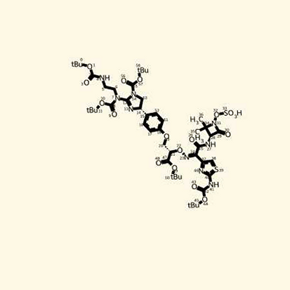 CC(C)(C)OC(=O)NCCN(C(=O)OC(C)(C)C)C1=N[C@@H](c2ccc(OC[C@H](O/N=C(\C(=O)N[C@@H]3C(=O)N(OS(=O)(=O)O)C3(C)C)c3csc(NC(=O)OC(C)(C)C)n3)C(=O)OC(C)(C)C)cc2)CN1C(=O)OC(C)(C)C